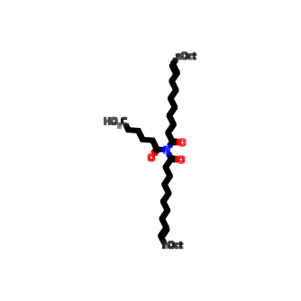 CCCCCCCCC=CCCCCCCCC(=O)N(C(=O)CCCCCCCC=CCCCCCCCC)C(=O)CCCCC(=O)O